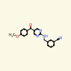 COc1ccc(C(=O)c2cnc(NCc3cccc(C#N)c3)nc2)cc1